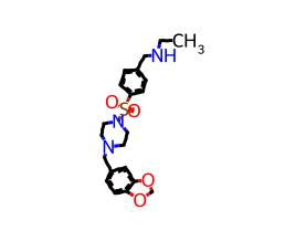 CCNCc1ccc(S(=O)(=O)N2CCN(Cc3ccc4c(c3)OCO4)CC2)cc1